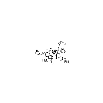 COCCn1c(=O)c(NC(=O)Nc2c(C(C)C)cc(OCc3cccnc3)cc2C(C)C)c(-c2cccc(OC)c2)c2cccnc21